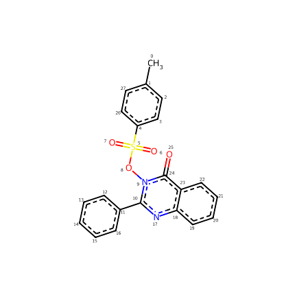 Cc1ccc(S(=O)(=O)On2c(-c3ccccc3)nc3ccccc3c2=O)cc1